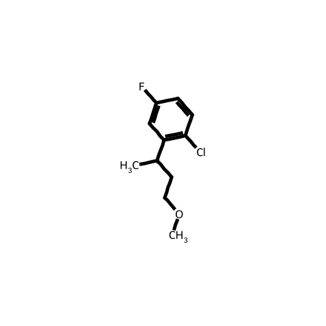 COCC[C](C)c1cc(F)ccc1Cl